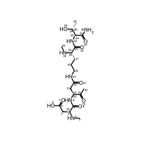 CN[C@@H](CC(=O)O)C(=O)N[C@@H](CC(=O)NCCC[C@H](NC)C(=O)N[C@H](C(N)=O)[C@@H](C)O)C(C)=O